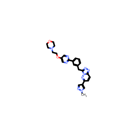 Cn1cc(-c2ccc3nnc(Cc4cccc(-c5ncc(OCCN6CCOCC6)cn5)c4)n3n2)cn1